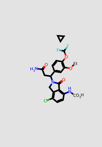 C1CC1.CCOc1cc(C(CC(N)=O)N2Cc3c(Cl)ccc(NC(=O)O)c3C2=O)ccc1OC(F)F